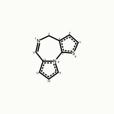 C1=NCc2ccsc2-n2cccc21